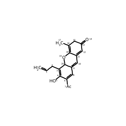 C=CCC1=C(O)C(C(C)=O)=CC2=CC3=CC(=O)CC(C)=C3OC21